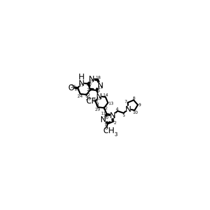 Cc1cn(CCN2CCCC2)c(C2CCN(c3ncnc4c3[C@H](C(F)(F)F)CC(=O)N4)CC2)n1